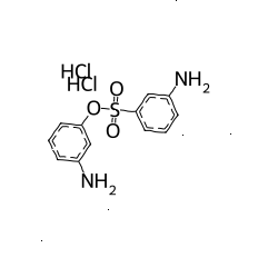 Cl.Cl.Nc1cccc(OS(=O)(=O)c2cccc(N)c2)c1